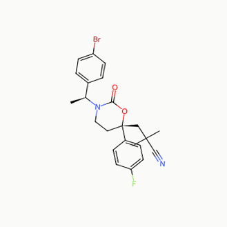 C[C@@H](c1ccc(Br)cc1)N1CC[C@@](CC(C)(C)C#N)(c2ccc(F)cc2)OC1=O